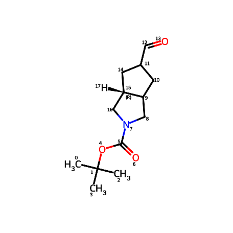 CC(C)(C)OC(=O)N1CC2CC(C=O)C[C@H]2C1